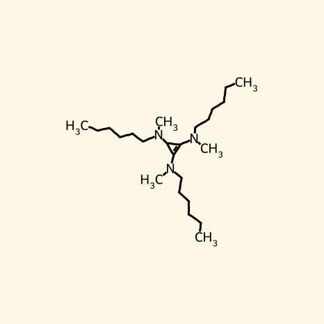 CCCCCCN(C)C1=C(N(C)CCCCCC)C1N(C)CCCCCC